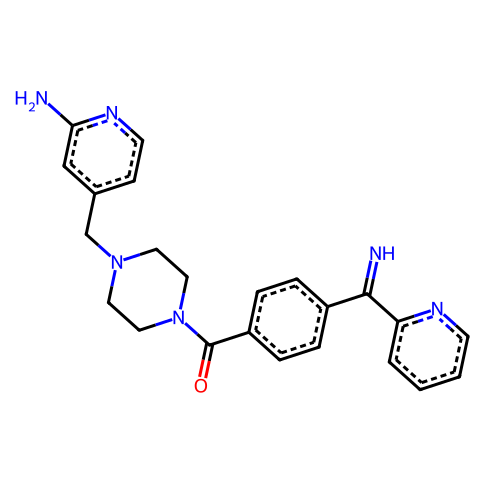 N=C(c1ccc(C(=O)N2CCN(Cc3ccnc(N)c3)CC2)cc1)c1ccccn1